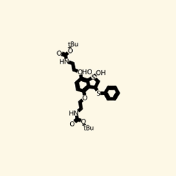 CC(C)(C)OC(=O)NCCOc1ccc(OCCNC(=O)OC(C)(C)C)c2c1C(Sc1ccccc1)CS2(O)O